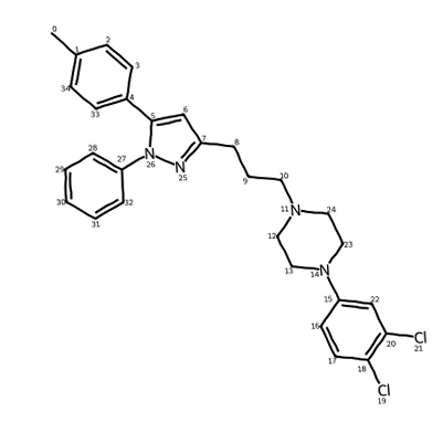 Cc1ccc(-c2cc(CCCN3CCN(c4ccc(Cl)c(Cl)c4)CC3)nn2-c2ccccc2)cc1